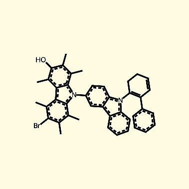 Cc1c(O)c(C)c2c3c(C)c(Br)c(C)c(C)c3n(-c3ccc4c(c3)c3ccccc3n4C3=C(c4ccccc4)C=CCC3)c2c1C